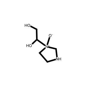 [O-][N+]1(C(O)CO)CCNC1